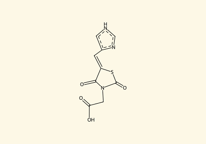 O=C(O)CN1C(=O)SC(=Cc2c[nH]cn2)C1=O